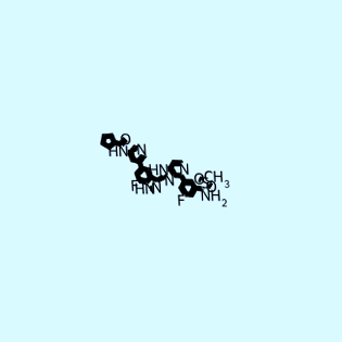 CS(=O)(=O)C(N)c1cc(F)cc(-c2nccc3[nH]c(-c4n[nH]c5c(F)cc(-c6cncc(NC(=O)C7CCCC7)c6)cc45)nc23)c1